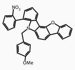 COc1ccc(Cn2c3ccc4c5ccccc5oc4c3c3cccc(-c4ccccc4[N+](=O)[O-])c32)cc1